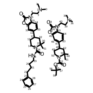 CN(C)CCn1c(=O)oc2cc(C3CCN(C(=O)NCCCCc4ccccc4)C(C)(C)C3)ccc21.CN(C)CCn1c(=O)oc2cc(C3CCN(C(=O)OC(C)(C)C)C(C)(C)C3)ccc21